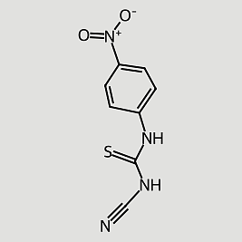 N#CNC(=S)Nc1ccc([N+](=O)[O-])cc1